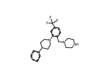 FC(F)(F)c1ccc(CN2CCNCC2)c(N2CCC(c3ccccc3)CC2)c1